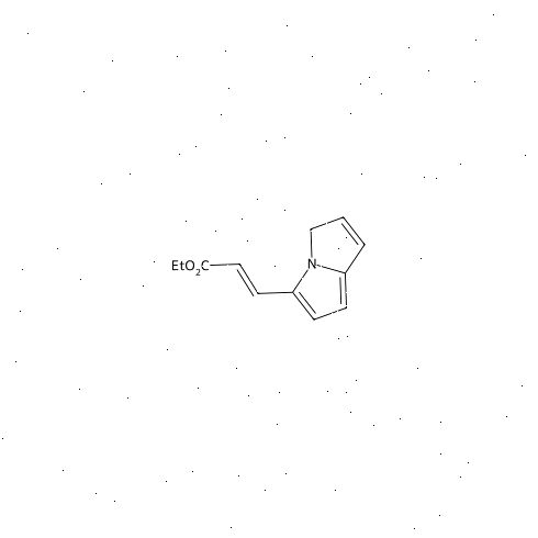 CCOC(=O)C=Cc1ccc2n1CC=C2